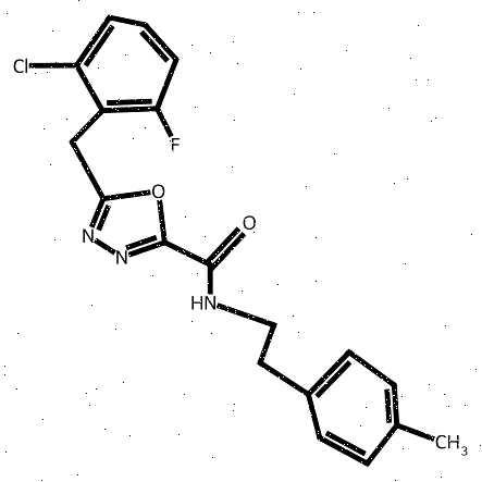 Cc1ccc(CCNC(=O)c2nnc(Cc3c(F)cccc3Cl)o2)cc1